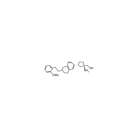 COc1ccccc1CCC1CCc2cc([C@@H]3CC[C@](N)(CO)C3)ccc2C1